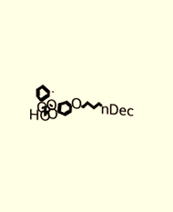 CCCCCCCCCCCCCCOc1ccc(OP(=O)(O)Oc2c[c]ccc2)cc1